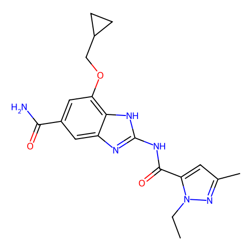 CCn1nc(C)cc1C(=O)Nc1nc2cc(C(N)=O)cc(OCC3CC3)c2[nH]1